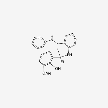 CCC(C)(Pc1ccccc1CNc1ccccc1)c1cccc(OC)c1O